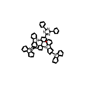 N#Cc1ccc(-n2c3ccccc3c3cc(-n4c5ccccc5c5ccccc54)ccc32)c(-c2ccc(-c3nc(-c4ccccc4)nc(-c4ccccc4)n3)cc2-n2c3ccccc3c3cc(-n4c5ccccc5c5ccccc54)ccc32)c1